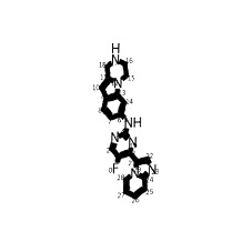 Fc1cnc(Nc2ccc3cc4n(c3c2)CCNC4)nc1-c1cnc2ccccn12